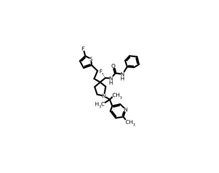 Cc1ccc(C(C)(C)N2CCC(CCc3ccc(F)s3)([C@H](F)NC(=O)Nc3ccccc3)C2)cn1